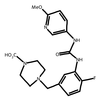 COc1ccc(NC(=O)Nc2cc(CN3CCN(C(=O)O)CC3)ccc2F)cn1